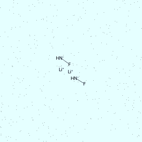 [Li+].[Li+].[NH-]F.[NH-]F